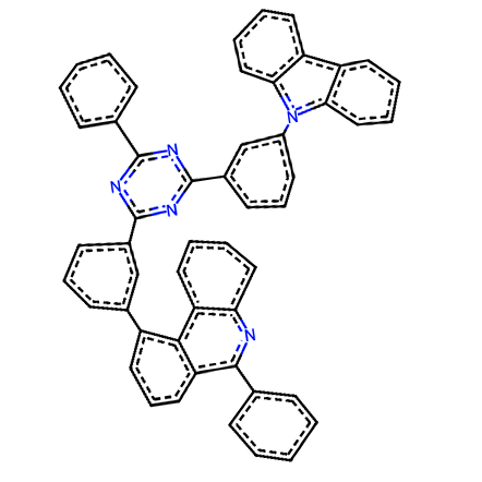 c1ccc(-c2nc(-c3cccc(-c4cccc5c(-c6ccccc6)nc6ccccc6c45)c3)nc(-c3cccc(-n4c5ccccc5c5ccccc54)c3)n2)cc1